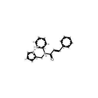 O=C(C=Cc1ccccc1)N(Cc1cccs1)c1ccccn1